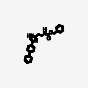 O=C(NCCc1nc(-c2ccc(-c3ccccc3)cc2)c[nH]1)OCc1ccccc1